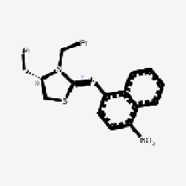 CC(C)C[C@H]1CS/C(=N\c2ccc([N+](=O)[O-])c3ccccc23)N1CC(C)C